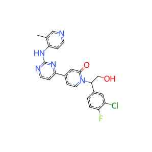 Cc1cnccc1Nc1nccc(-c2ccn(C(CO)c3ccc(F)c(Cl)c3)c(=O)c2)n1